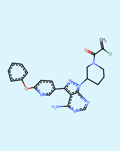 C=C(Cl)C(=O)N1CCCC(n2nc(-c3ccc(Oc4ccccc4)nc3)c3c(N)ncnc32)C1